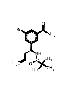 C=CC[C@H](N[S+]([O-])C(C)(C)C)c1cc(Br)cc(C(N)=O)c1